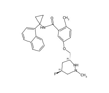 Cc1ccc(OC[C@H]2C[C@H](F)CN(C)N2)cc1C(=O)NC1(c2cccc3ccccc23)CC1